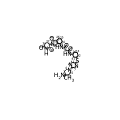 CC1(N)CCN(c2cnc(Sc3cccc(NC(=O)CC(=O)Nc4cccc5c4CN(C4CCC(=O)NC4=O)C5=O)c3)cn2)CC1